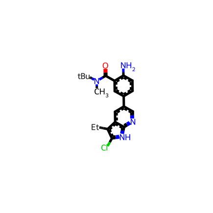 CCc1c(Cl)[nH]c2ncc(-c3ccc(N)c(C(=O)N(C)C(C)(C)C)c3)cc12